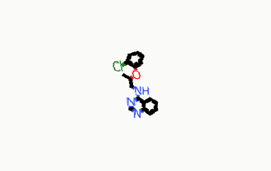 CC(CNc1ncnc2ccccc12)Oc1ccccc1Cl